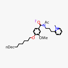 CCCCCCCCCCCCCCCCOc1ccc(C(=O)N(CCCc2cccc[n+]2C)C(C)=O)cc1OC.[I-]